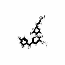 Nc1cc(C(=O)c2ccc(F)cc2F)cn(-c2c(F)cc(CCO)cc2F)c1=O